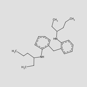 CCCC(CC)Nc1ccccc1Cc1ccccc1NC(CC)CCC